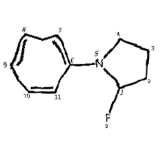 FC1CCCN1c1cc[c]cc1